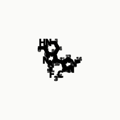 CC1NCCc2c1nn(C)c2-c1cn(C)nc1C(F)(F)F